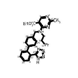 CCOC(=O)c1cnc(C)nc1N(CCC(C)C)Cc1ccc(-c2ccccc2-c2nnn[nH]2)cc1